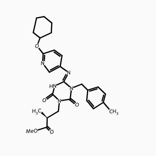 COC(=O)[C@@H](C)Cn1c(=O)[nH]/c(=N\c2ccc(OC3CCCCC3)nc2)n(Cc2ccc(C)cc2)c1=O